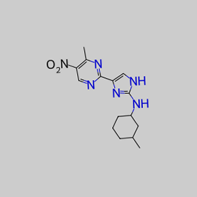 Cc1nc(-c2c[nH]c(NC3CCCC(C)C3)n2)ncc1[N+](=O)[O-]